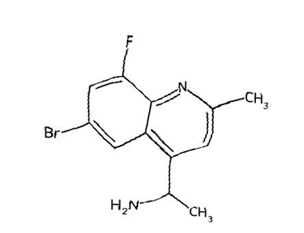 Cc1cc(C(C)N)c2cc(Br)cc(F)c2n1